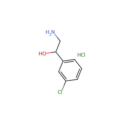 Cl.NCC(O)c1cccc(Cl)c1